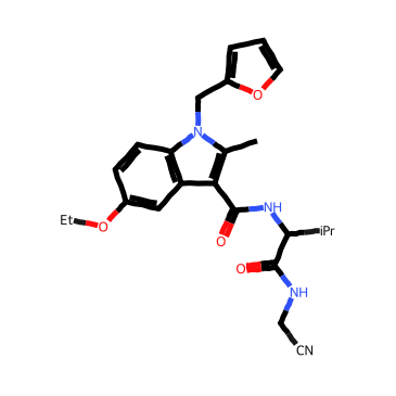 CCOc1ccc2c(c1)c(C(=O)NC(C(=O)NCC#N)C(C)C)c(C)n2Cc1ccco1